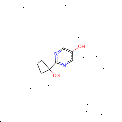 Oc1cnc(C2(O)CCC2)nc1